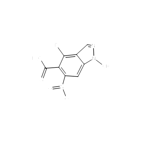 CC(=O)c1c([N+](=O)[O-])cc2c(cnn2C)c1F